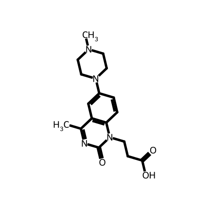 Cc1nc(=O)n(CCC(=O)O)c2ccc(N3CCN(C)CC3)cc12